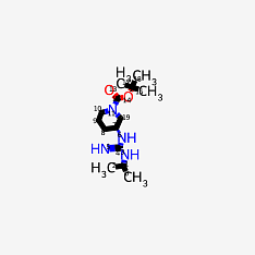 CC(C)NC(=N)N[C@H]1CCCN(C(=O)OC(C)(C)C)C1